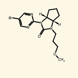 COCCCN1C(=O)N(c2ncc(Br)cn2)[C@@H]2CCC[C@@H]21